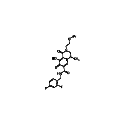 CC(C)OCCN1CN(C)n2cc(C(=O)NCc3ccc(F)cc3F)c(=O)c(O)c2C1=O